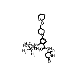 CC(C)(C)[Si](C)(C)OCc1cc(N2CCC(COC3CCCCO3)CC2)ccc1C(=O)NC1CCC(=O)NC1=O